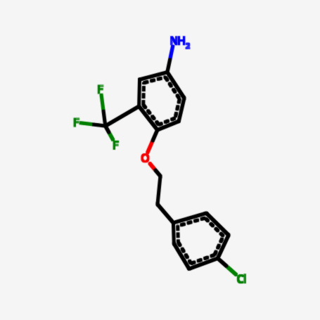 Nc1ccc(OCCc2ccc(Cl)cc2)c(C(F)(F)F)c1